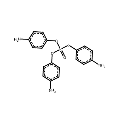 Nc1ccc(OP(=O)(Oc2ccc(N)cc2)Sc2ccc(N)cc2)cc1